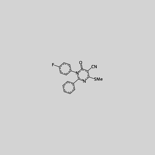 CSc1nc(-c2ccccc2)n(-c2ccc(F)cc2)c(=O)c1C#N